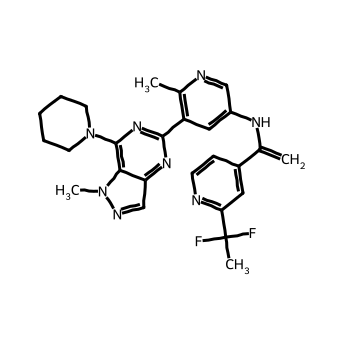 C=C(Nc1cnc(C)c(-c2nc(N3CCCCC3)c3c(cnn3C)n2)c1)c1ccnc(C(C)(F)F)c1